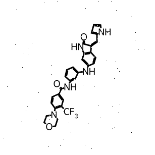 O=C1Nc2cc(Nc3cccc(NC(=O)c4ccc(N5CCOCC5)c(C(F)(F)F)c4)c3)ccc2/C1=C/c1ccc[nH]1